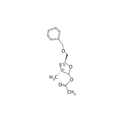 CC(=O)OC1O[C@H](COCc2ccccc2)S[C@H]1C